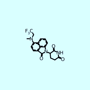 CN(CC(F)(F)F)c1ccc2c3c(cccc13)N(C1CCC(=O)NC1=O)C2=O